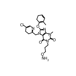 CC1=C(Oc2nc3c(c(=O)n(CCCON)c(=O)n3C)n2CC2=NC=C(Cl)CC2)CCC=C1